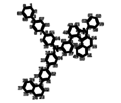 c1ccc(-c2ccc(-c3ccc(N(c4ccc(-c5ccc(-c6cccc7ccccc67)cc5)cc4)c4cccc(-c5cccc6c5c5c7ccccc7ccc5n6-c5ccccc5)c4)cc3)cc2)cc1